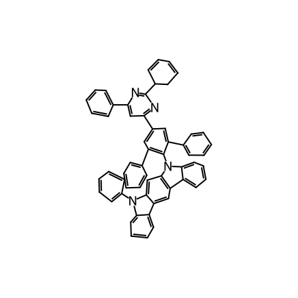 C1=CCC(c2nc(-c3ccccc3)cc(-c3cc(-c4ccccc4)c(-n4c5ccccc5c5cc6c7ccccc7n(-c7ccccc7)c6cc54)c(-c4ccccc4)c3)n2)C=C1